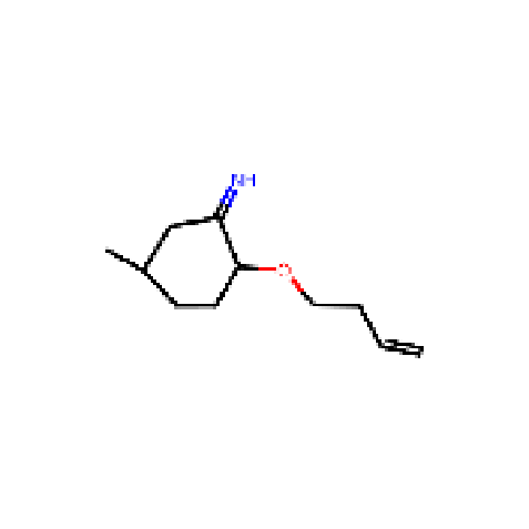 C=CCCOC1CCC(C)CC1=N